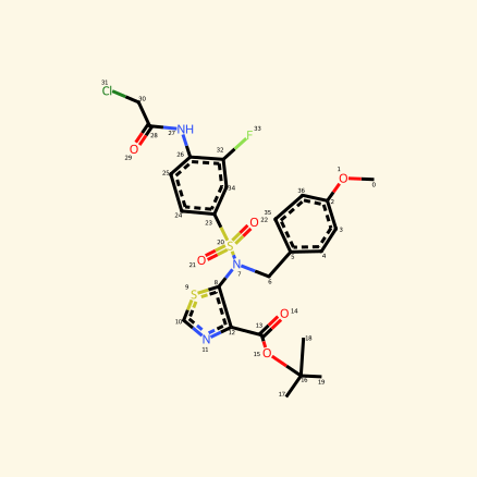 COc1ccc(CN(c2scnc2C(=O)OC(C)(C)C)S(=O)(=O)c2ccc(NC(=O)CCl)c(F)c2)cc1